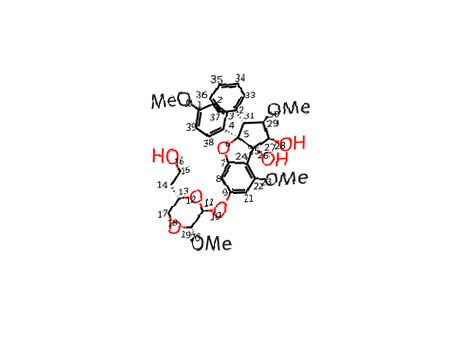 COc1ccc([C@@]23Oc4cc(O[C@@H]5O[C@@H](CCO)CO[C@H]5OC)cc(OC)c4[C@]2(O)[C@H](O)[C@H](OC)[C@H]3c2ccccc2)cc1